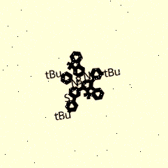 CC(C)(C)c1ccc(N2B3c4cc5c(cc4-n4c6ccc(C(C)(C)C)cc6c6c7c(c(c3c64)-c3cc4c(cc32)sc2cc(C(C)(C)C)ccc24)C(C)(C)c2ccccc2-7)-c2ccccc2C5(C)C)cc1